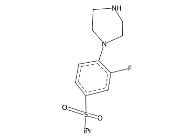 CC(C)S(=O)(=O)c1ccc(N2CCNCC2)c(F)c1